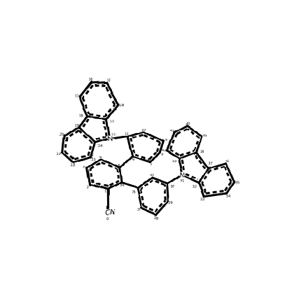 N#Cc1cccc(-c2ccccc2-n2c3ccccc3c3ccccc32)c1-c1cccc(-n2c3ccccc3c3ccccc32)c1